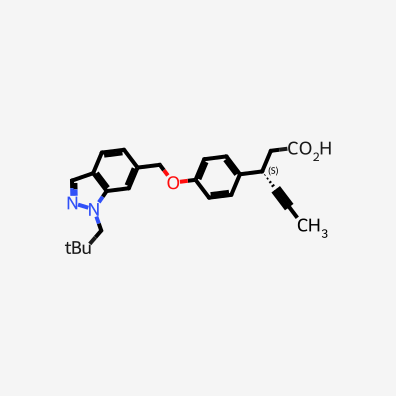 CC#C[C@@H](CC(=O)O)c1ccc(OCc2ccc3cnn(CC(C)(C)C)c3c2)cc1